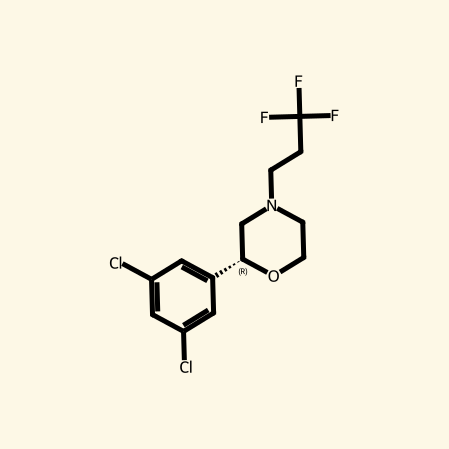 FC(F)(F)CCN1CCO[C@H](c2cc(Cl)cc(Cl)c2)C1